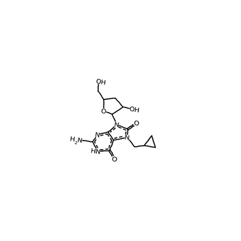 Nc1nc2c(c(=O)[nH]1)n(CC1CC1)c(=O)n2C1OC(CO)CC1O